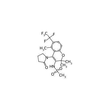 Cc1c(C(F)(F)C(F)(F)F)ccc2c1C(N1CCCC1=O)=C(NS(C)(=O)=O)C(C)(C)O2